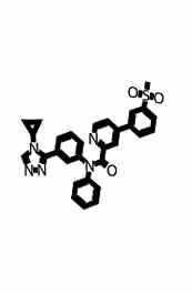 CS(=O)(=O)c1cccc(-c2ccnc(C(=O)N(c3ccccc3)c3cccc(-c4nncn4C4CC4)c3)c2)c1